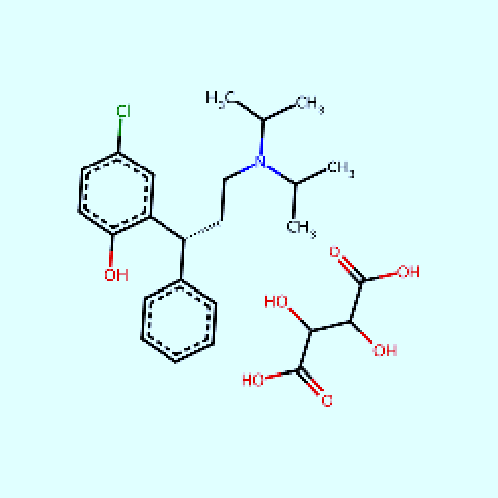 CC(C)N(CC[C@H](c1ccccc1)c1cc(Cl)ccc1O)C(C)C.O=C(O)C(O)C(O)C(=O)O